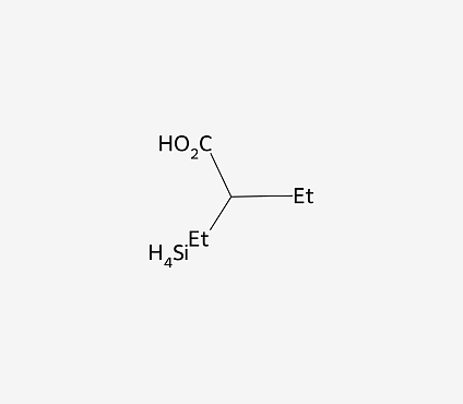 CCC(CC)C(=O)O.[SiH4]